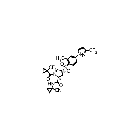 Cc1cc(-n2ccc(C(F)(F)F)n2)ccc1S(=O)(=O)[C@@H]1C[C@@H](C(=O)NC2(C#N)CC2)N(C(=O)C2(C(F)(F)F)CC2)C1